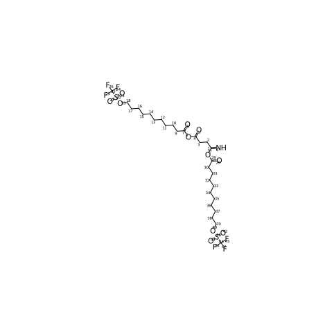 N=C(CCC(=O)OC(=O)CCCCCCCCCCOS(=O)(=O)C(F)(F)F)OC(=O)CCCCCCCCCCOS(=O)(=O)C(F)(F)F